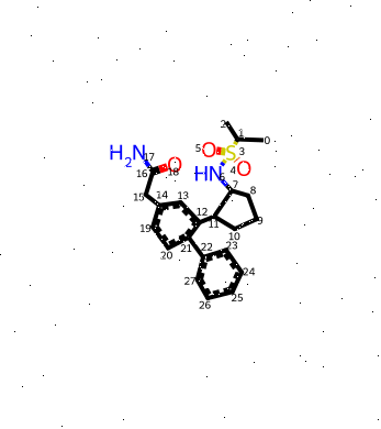 CC(C)S(=O)(=O)NC1CCCC1c1cc(CC(N)=O)ccc1-c1ccccc1